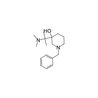 CN(C)C(C)(C)C1(O)CCCN(Cc2ccccc2)C1